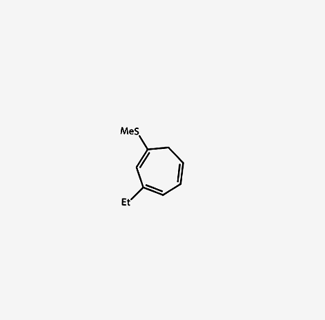 CCC1=CC=CCC(SC)=C1